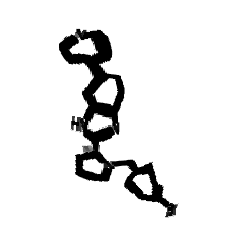 Brc1ccc(CN2CCC[C@H]2c2nc3ccc(-c4ccncc4)cc3[nH]2)cc1